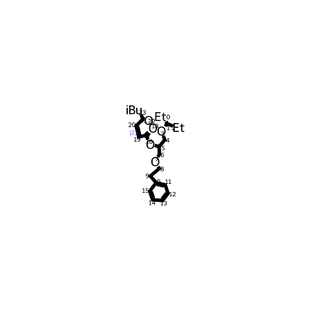 CCC(CC)OCC(COCCc1ccccc1)OC(=O)/C=C\C(=O)C(C)CC